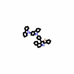 c1ccc2c(c1)ccc1nc3c(sc4ccccc43)c(-c3ccc(-n4c5ccccc5c5cc(-n6c7ccccc7c7ccccc76)ccc54)cc3)c12